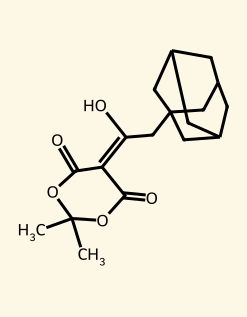 CC1(C)OC(=O)C(=C(O)CC23CC4CC(CC(C4)C2)C3)C(=O)O1